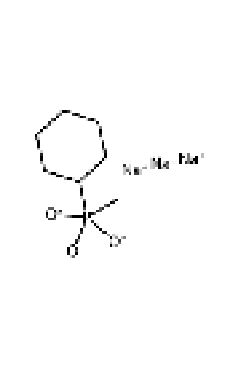 CP([O-])([O-])([O-])C1CCCCC1.[Na+].[Na+].[Na+]